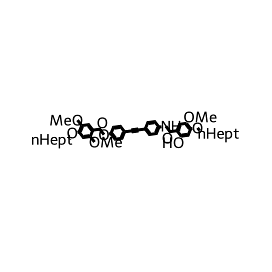 CCCCCCCOc1cc(O)c(C(=O)Nc2ccc(C#Cc3ccc(OC(=O)c4cc(OC)c(OCCCCCCC)cc4OC)cc3)cc2)cc1OC